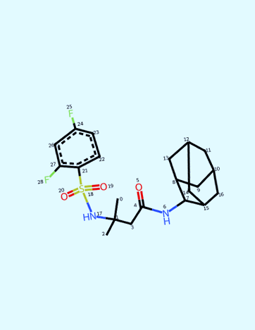 CC(C)(CC(=O)NC1C2CC3CC(C2)CC1C3)NS(=O)(=O)c1ccc(F)cc1F